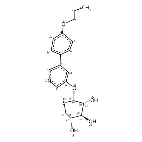 CCCOc1ccc(-c2cncc(O[C@H]3SC[C@@H](O)[C@H](O)[C@H]3O)c2)cc1